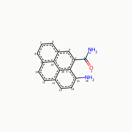 NC(=O)c1cc2cccc3ccc4ccc(N)c1c4c32